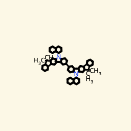 CC1(C)c2ccccc2-c2cc3c4cc(-c5ccc6c(c5)c5cc7c(cc5n6-c5cccc6ccccc56)C(C)(C)c5ccccc5-7)ccc4n(-c4cccc5ccccc45)c3cc21